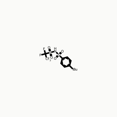 CCC(C)c1ccc(S(=O)(=O)NS(=O)(=O)C(F)(F)C(F)(F)F)cc1